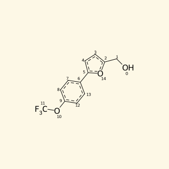 OCc1ccc(-c2ccc(OC(F)(F)F)cc2)o1